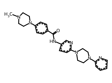 CN1CCN(c2ccc(C(=O)Nc3ccc(N4CCN(c5ccccn5)CC4)nc3)cc2)CC1